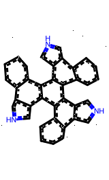 c1ccc2c(c1)c1c[nH]cc1c1c2c2c3c[nH]cc3c3ccccc3c2c2c3c[nH]cc3c3ccccc3c12